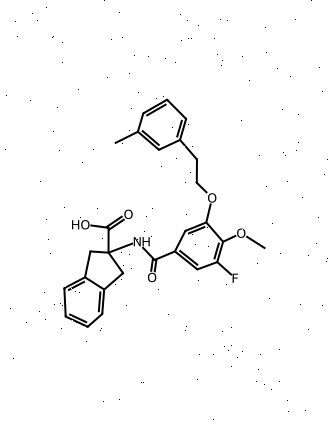 COc1c(F)cc(C(=O)NC2(C(=O)O)Cc3ccccc3C2)cc1OCCc1cccc(C)c1